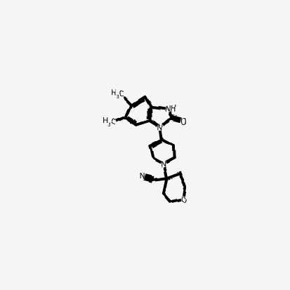 Cc1cc2[nH]c(=O)n(C3=CCN(C4(C#N)CCOCC4)CC3)c2cc1C